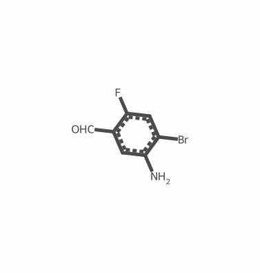 Nc1cc(C=O)c(F)cc1Br